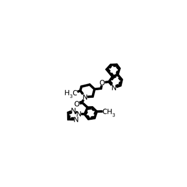 Cc1ccc(-n2nccn2)c(C(=O)N2CC(COc3nccc4ccccc34)CCC2C)c1